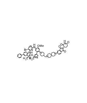 COc1cc(N2CCC(CN3CCC4(CC3)CCN(c3ccc5c(c3)C(=O)N(C3CCC(=O)NC3=O)C5=O)CC4)CC2)c(-c2cnn(C)c2)cc1Nc1ncc(Br)c(Nc2ccc(-c3ccccc3)cc2P(C)(C)=O)n1